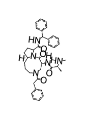 CN[C@@H](C)C(=O)N[C@H]1CN(C(=O)Cc2ccccc2)CCC[C@H]2CCC(C(=O)NC(c3ccccc3)c3ccccc3)N2C1=O